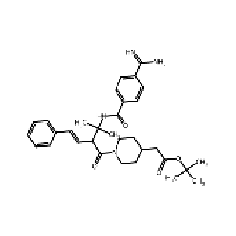 CC(C)(C)OC(=O)CC1CCN(C(=O)C(C=Cc2ccccc2)C(C)(C)NC(=O)c2ccc(C(=N)N)cc2)CC1